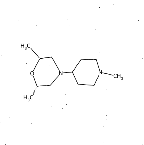 CC1CN(C2CCN(C)CC2)C[C@H](C)O1